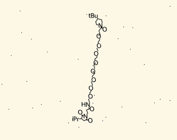 CC(C)C1CC(=O)N(CCC(=O)NCCOCCOCCOCCOCCOCCOCCOCCOCCC(=O)N2CCC(C(C)(C)C)CC2)C1=O